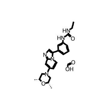 CCNC(=O)Nc1cccc(-c2cnc3cc(N4C[C@@H](C)O[C@@H](C)C4)ccn23)c1.O=CO